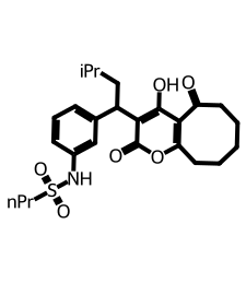 CCCS(=O)(=O)Nc1cccc(C(CC(C)C)c2c(O)c3c(oc2=O)CCCCCC3=O)c1